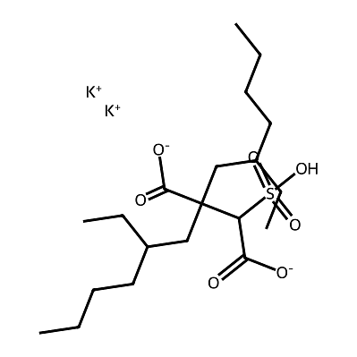 CCCCC(CC)CC(CC(CC)CCCC)(C(=O)[O-])C(C(=O)[O-])S(=O)(=O)O.[K+].[K+]